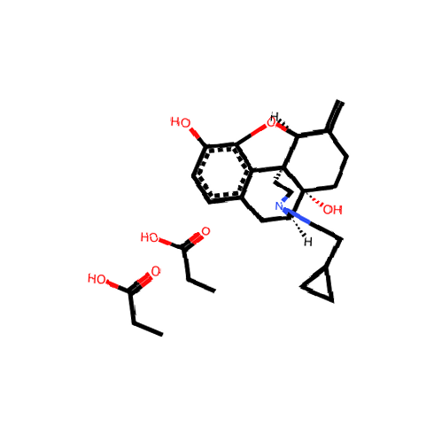 C=C1CC[C@@]2(O)[C@H]3Cc4ccc(O)c5c4[C@@]2(CCN3CC2CC2)[C@H]1O5.CCC(=O)O.CCC(=O)O